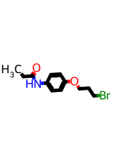 CCC(=O)Nc1ccc(OCCCBr)cc1